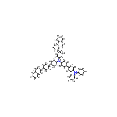 CC1(c2cccc3c2ccc2ccccc23)C=CC(N(c2ccc(-c3ccc(-c4ccc5ccccc5c4)cc3)cc2)c2ccc(-c3ccc4c(c3)c3ccccc3n4-c3ccccc3)cc2)=CC1